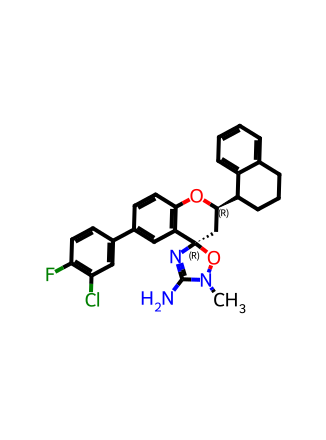 CN1O[C@@]2(C[C@H](C3CCCc4ccccc43)Oc3ccc(-c4ccc(F)c(Cl)c4)cc32)N=C1N